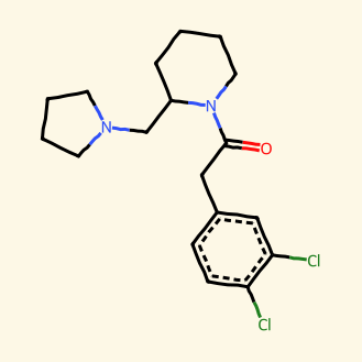 O=C(Cc1ccc(Cl)c(Cl)c1)N1CCCCC1CN1CCCC1